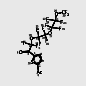 CC(=O)c1ccc(C(=O)C(F)(F)OC(F)(F)C(F)(F)OC(F)(F)C(F)(F)OC(F)(F)F)s1